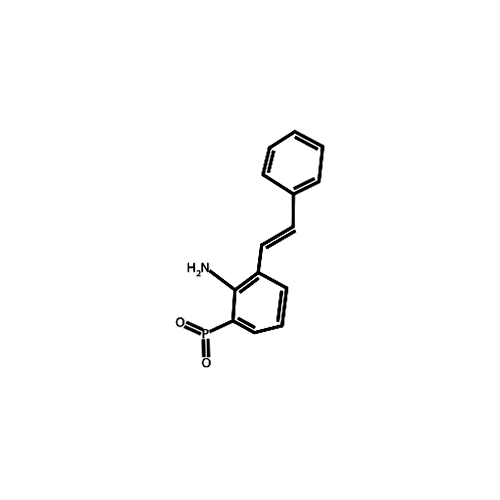 Nc1c(C=Cc2ccccc2)cccc1P(=O)=O